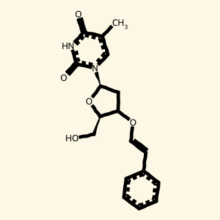 Cc1cn([C@H]2CC(OC=Cc3ccccc3)[C@@H](CO)O2)c(=O)[nH]c1=O